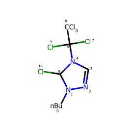 CCCCN1N=CN(C(Cl)(Cl)C(Cl)(Cl)Cl)C1Cl